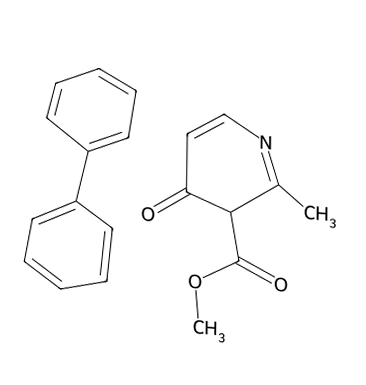 COC(=O)C1C(=O)C=CN=C1C.c1ccc(-c2ccccc2)cc1